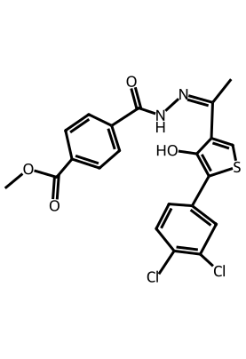 COC(=O)c1ccc(C(=O)NN=C(C)c2csc(-c3ccc(Cl)c(Cl)c3)c2O)cc1